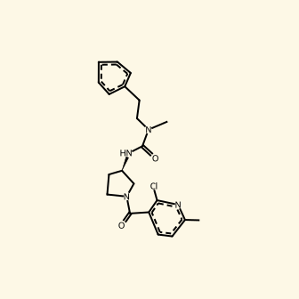 Cc1ccc(C(=O)N2CC[C@@H](NC(=O)N(C)CCc3ccccc3)C2)c(Cl)n1